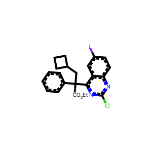 CCOC(=O)C(CC1CCC1)(c1ccccc1)c1nc(Cl)nc2ccc(I)cc12